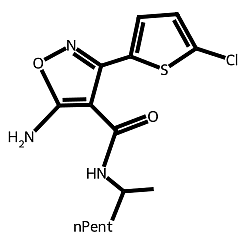 CCCCCC(C)NC(=O)c1c(-c2ccc(Cl)s2)noc1N